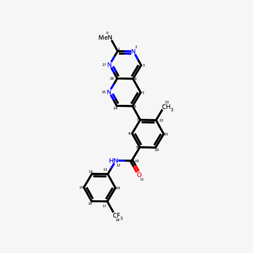 CNc1ncc2cc(-c3cc(C(=O)Nc4cccc(C(F)(F)F)c4)ccc3C)cnc2n1